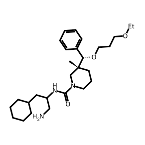 CCOCCCO[C@@H](c1ccccc1)[C@]1(C)CCCN(C(=O)NC(CN)CC2CCCCC2)C1